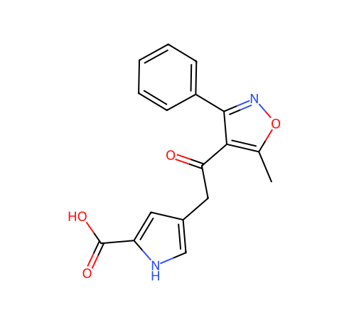 Cc1onc(-c2ccccc2)c1C(=O)Cc1c[nH]c(C(=O)O)c1